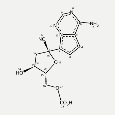 N#C[C@]1(c2ccc3c(N)ncnn23)C[C@H](O)[C@@H](COC(=O)O)O1